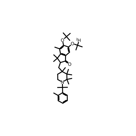 [2H]C(C)(C)Oc1cc2c(c(C)c1OC(C)(C)C)C(C)(C)C(CC1(C)CCN(C(C)(C)c3ccccc3C)C(C)(C)C1(C)C)C2=O